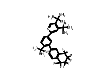 BC(B)(B)c1ccc(-c2cc(C(B)(B)B)c(C(B)(B)B)cn2)cc1-c1ccc2c(c1)C(F)(F)C(F)(F)C(F)(F)C2(F)F